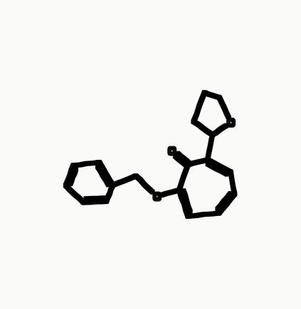 O=c1c(OCc2ccccc2)ccccc1C1CCCO1